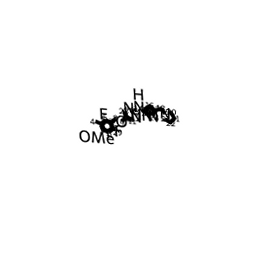 COc1cc(C)c(F)c(COc2cnc(Nc3cc(CN4CCCC4)n[nH]3)nc2)c1F